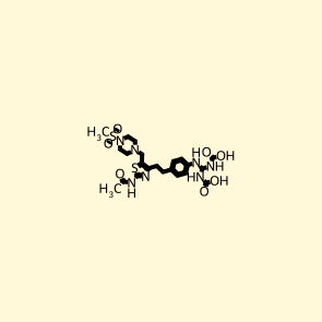 CC(=O)Nc1nc(CCc2ccc(NC(NC(=O)O)NC(=O)O)cc2)c(CN2CCN(S(C)(=O)=O)CC2)s1